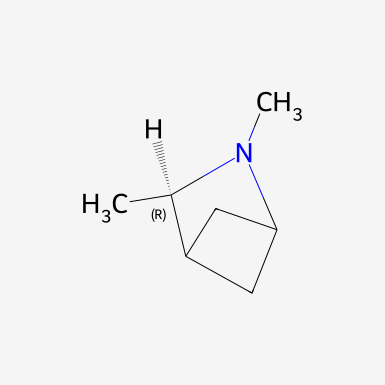 C[C@@H]1C2CC(C2)N1C